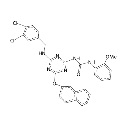 COc1ccccc1NC(=O)Nc1nc(NCc2ccc(Cl)c(Cl)c2)nc(Oc2ccc3ccccc3c2)n1